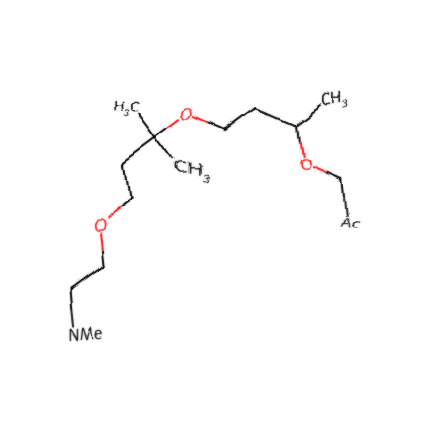 CNCCOCCC(C)(C)OCCC(C)OCC(C)=O